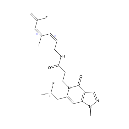 C=C(F)/C=C(I)\C=C/CNC(=O)CCn1c(C[C@H](C)F)cc2c(cnn2C)c1=O